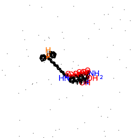 CC(C)[PH](CCCCCCCCCCCC(=O)Nc1ccc2c(c1O)C(=O)C1=C(O)[C@]3(O)C(=O)C(C(N)=O)=C(O)[C@@H](N(C)C)[C@@H]3[C@@H](O)[C@@H]1[C@H]2C)(c1ccccc1)c1ccccc1